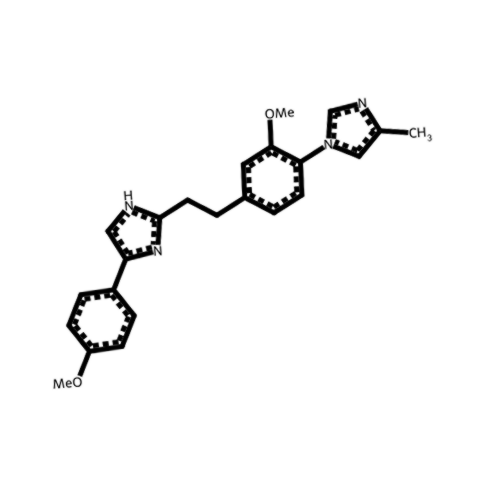 COc1ccc(-c2c[nH]c(CCc3ccc(-n4cnc(C)c4)c(OC)c3)n2)cc1